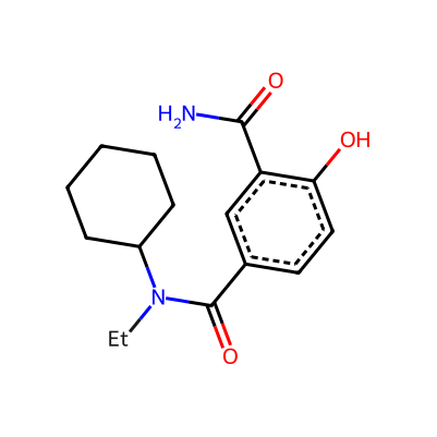 CCN(C(=O)c1ccc(O)c(C(N)=O)c1)C1CCCCC1